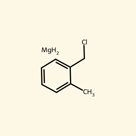 Cc1ccccc1CCl.[MgH2]